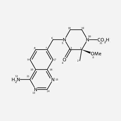 CO[C@@]1(C)C(=O)N(Cc2ccc3c(N)ncnc3c2)CCN1C(=O)O